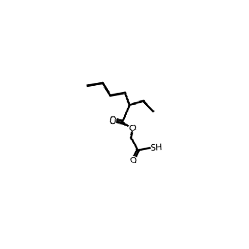 CCCCC(CC)C(=O)OCC(=O)S